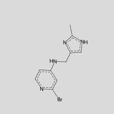 Cc1nc(CNc2ccnc(Br)c2)c[nH]1